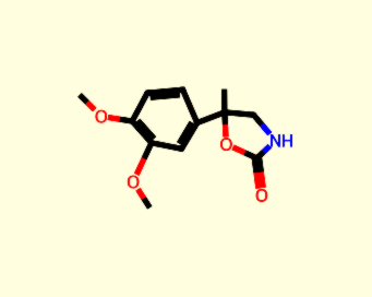 COc1ccc(C2(C)CNC(=O)O2)cc1OC